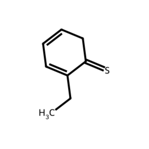 CCC1=CC=CCC1=S